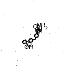 Cc1nc(C(N)=O)nn1-c1ccc(Cc2ccc(-c3ccccc3C(=O)O)cc2)cc1